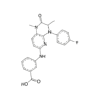 CC1C(=O)N(C)c2ccc(Nc3cccc(C(=O)O)c3)nc2N1c1ccc(F)cc1